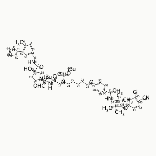 Cc1ccc(CNC(=O)[C@@]2(O)CCN([C@@](C=O)(NC(=O)CN(CCCCCOc3ccc(C(=O)N[C@H]4C(C)(C)[C@H](Oc5ccc(C#N)c(Cl)c5)C4(C)C)cc3)C(=O)OC(C)(C)C)C(C)(C)C)C2)cc1-c1cncs1